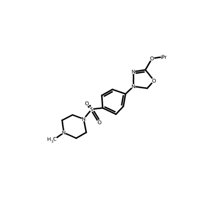 CC(C)OC1=NN(c2ccc(S(=O)(=O)N3CCN(C)CC3)cc2)CO1